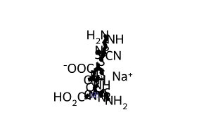 N#Cc1c(SCC(=N)N)nsc1SCC1=C(C(=O)[O-])N2C(=O)[C@@H](NC(=O)/C(=N\OCC(=O)O)c3csc(N)n3)[C@@H]2SC1.[Na+]